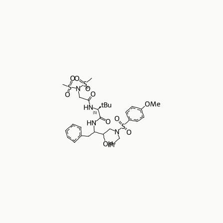 COc1ccc(S(=O)(=O)N(CC(C)C)CC(O)C(Cc2ccccc2)NC(=O)[C@@H](NC(=O)CN(S(C)(=O)=O)S(C)(=O)=O)C(C)(C)C)cc1